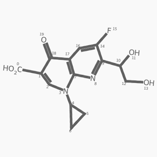 O=C(O)c1cn(C2CC2)c2nc(C(O)CO)c(F)cc2c1=O